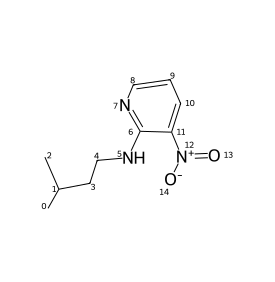 CC(C)CCNc1ncccc1[N+](=O)[O-]